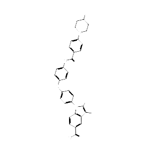 Cc1c(C)n(-c2ccc(Nc3ccc(NC(=O)c4ccc(N5CCC(O)CC5)cc4)cc3)cc2)c2ccc(C(N)=O)cc12